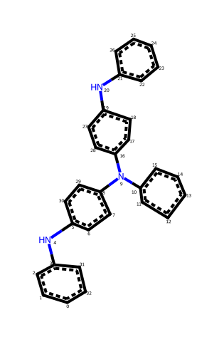 c1ccc(Nc2ccc(N(c3ccccc3)c3ccc(Nc4ccccc4)cc3)cc2)cc1